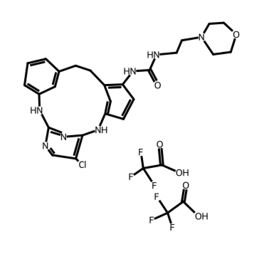 O=C(NCCN1CCOCC1)Nc1ccc2cc1CCc1cccc(c1)Nc1ncc(Cl)c(n1)N2.O=C(O)C(F)(F)F.O=C(O)C(F)(F)F